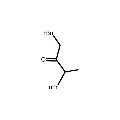 CCCC(C)C(=O)CC(C)(C)C